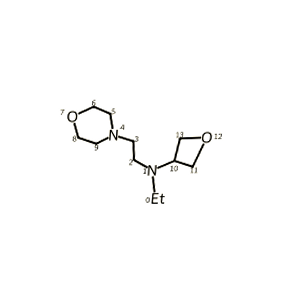 CCN(CCN1CCOCC1)C1COC1